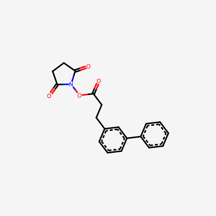 O=C(CCc1cccc(-c2ccccc2)c1)ON1C(=O)CCC1=O